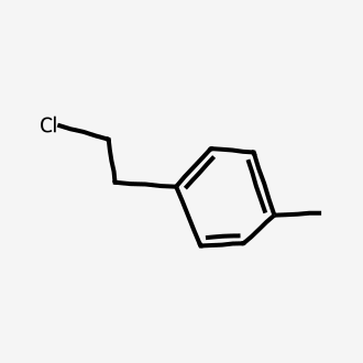 Cc1ccc(CCCl)cc1